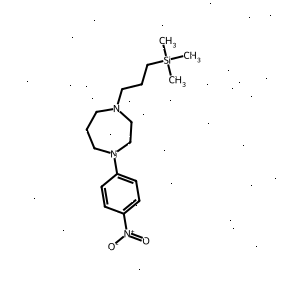 C[Si](C)(C)CCCN1CCCN(c2ccc([N+](=O)[O-])cc2)CC1